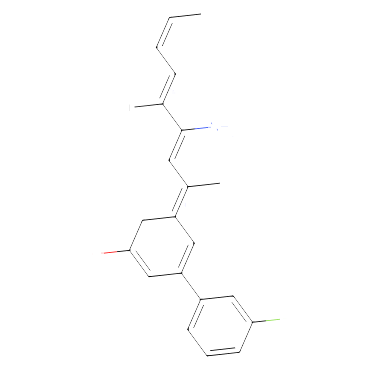 C\C=C/C=C(CC)/C(N)=C/C(C)=C1/C=C(c2cccc(F)c2)C=C(O)C1